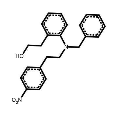 O=[N+]([O-])c1ccc(CCN(Cc2ccccc2)c2ccccc2CCO)cc1